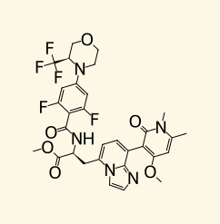 COC(=O)[C@H](Cc1ccc(-c2c(OC)cc(C)n(C)c2=O)c2nccn12)NC(=O)c1c(F)cc(N2CCOC[C@@H]2C(F)(F)F)cc1F